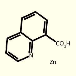 O=C(O)c1cccc2cccnc12.[Zn]